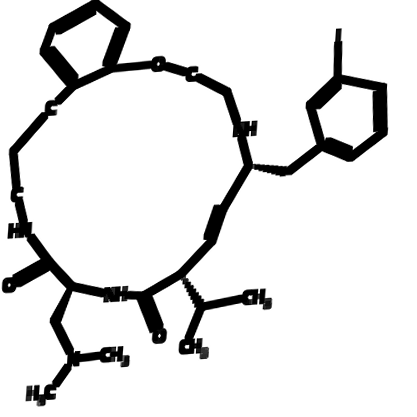 CC(C)[C@H]1/C=C/[C@@H](Cc2cccc(I)c2)NCCOc2ccccc2CCCNC(=O)[C@H](CN(C)C)NC1=O